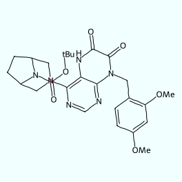 COc1ccc(Cn2c(=O)c(=O)[nH]c3c(N4CC5CCC(C4)N5C(=O)OC(C)(C)C)ncnc32)c(OC)c1